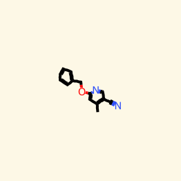 Cc1cc(OCc2ccccc2)ncc1C#N